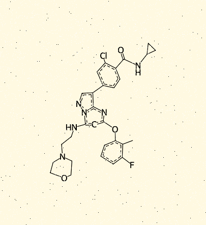 Cc1c(F)cccc1Oc1cc(NCCN2CCOCC2)n2ncc(-c3ccc(C(=O)NC4CC4)c(Cl)c3)c2n1